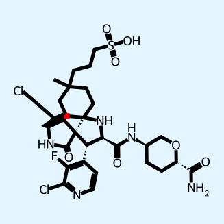 CC1(CCCS(=O)(=O)O)CCC2(CC1)N[C@@H](C(=O)N[C@@H]1CC[C@@H](C(N)=O)OC1)[C@H](c1ccnc(Cl)c1F)[C@]21C(=O)Nc2cc(Cl)ccc21